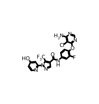 Nc1ncnc(Oc2ccc(NC(=O)c3cnn(-c4cc(O)ccn4)c3C(F)(F)F)cc2F)c1Cl